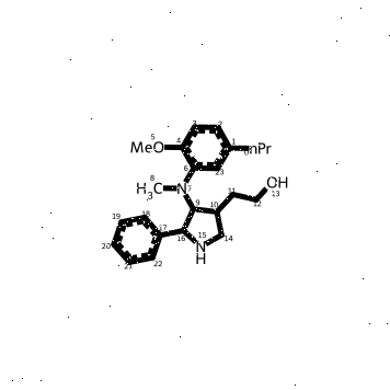 CCCc1ccc(OC)c(N(C)C2C(CCO)CNC2c2ccccc2)c1